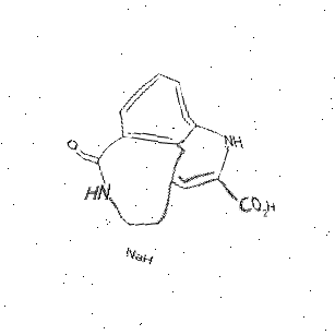 O=C(O)c1[nH]c2cccc3c2c1CCNC3=O.[NaH]